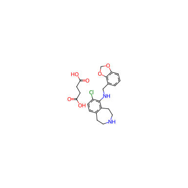 Clc1ccc2c(c1NCc1cccc3c1OCO3)CCNCC2.O=C(O)CCC(=O)O